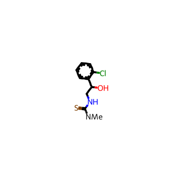 CNC(=S)NCC(O)c1ccccc1Cl